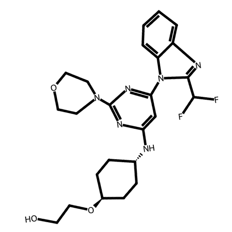 OCCO[C@H]1CC[C@H](Nc2cc(-n3c(C(F)F)nc4ccccc43)nc(N3CCOCC3)n2)CC1